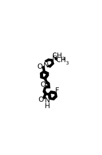 CN(C)C1CCN(C(=O)c2ccc(-c3ccc(/C=C4/C(=O)Nc5ccc(F)cc54)o3)cc2)CC1